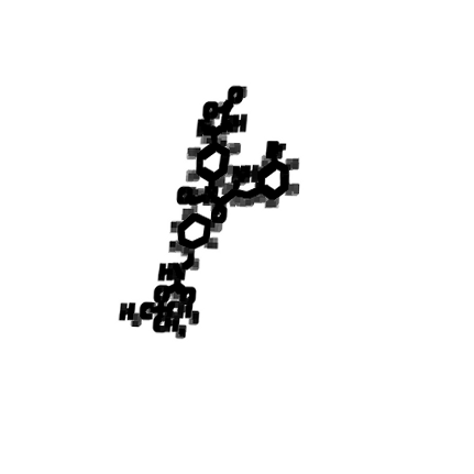 CC(C)(C)OC(=O)NC[C@H]1CC[C@H](C(=O)N(C(=O)[C@@H](N)Cc2cccc(Br)c2)c2ccc(-c3noc(=O)[nH]3)cc2)CC1